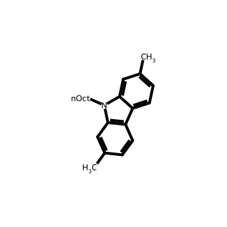 CCCCCCCCn1c2cc(C)ccc2c2ccc(C)cc21